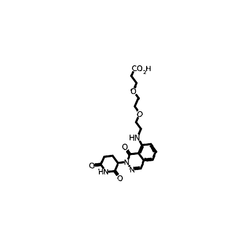 O=C(O)CCOCCOCCNc1cccc2cnn(C3CCC(=O)NC3=O)c(=O)c12